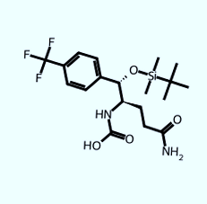 CC(C)(C)[Si](C)(C)O[C@@H](c1ccc(C(F)(F)F)cc1)[C@@H](CCC(N)=O)NC(=O)O